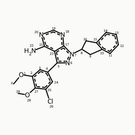 COc1cc(-c2nn(C3Cc4ccccc4C3)c3ncnc(N)c23)cc(Cl)c1OC